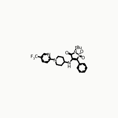 CC(C)(C)N1C(=O)C(NC2CCN(c3ccc(C(F)(F)F)cn3)CC2)=C(c2ccccc2)S1(=O)=O